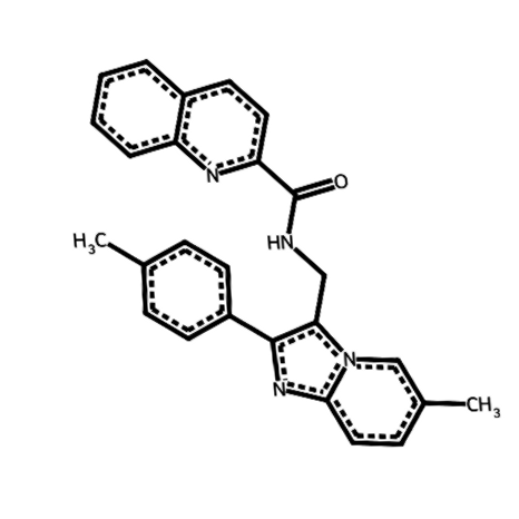 Cc1ccc(-c2nc3ccc(C)cn3c2CNC(=O)c2ccc3ccccc3n2)cc1